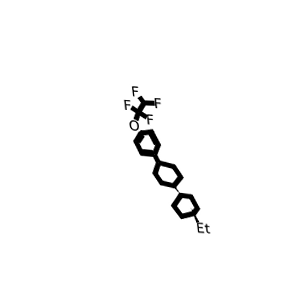 CC[C@H]1CC[C@H](C2CCC(c3ccc(OC(F)(F)C(F)F)cc3)CC2)CC1